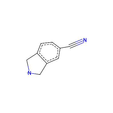 N#Cc1ccc2c(c1)C[N]C2